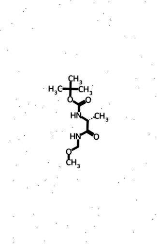 COCNC(=O)[C@@H](C)NC(=O)OC(C)(C)C